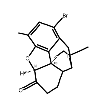 Cc1cc(Br)c2c3c1O[C@@H]1C(=O)CCC4C(C2)N(C)CC[C@]341